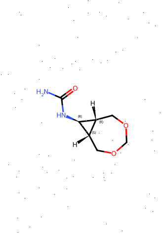 NC(=O)N[C@H]1[C@@H]2COCOC[C@@H]21